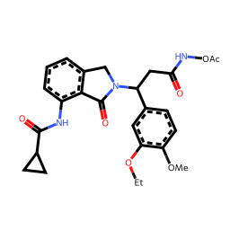 CCOc1cc(C(CC(=O)NOC(C)=O)N2Cc3cccc(NC(=O)C4CC4)c3C2=O)ccc1OC